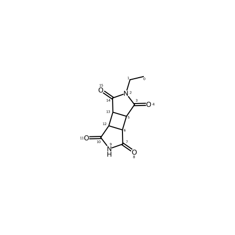 CCN1C(=O)C2C3C(=O)NC(=O)C3C2C1=O